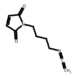 C=C=NCCCCN1C(=O)C=CC1=O